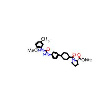 COC(=O)[C@@H]1CCCN1C(=O)C1CCC(c2ccc(NC(=O)Nc3cc(C)ccc3OC)cc2)CC1